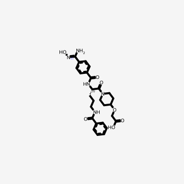 N/C(=N\O)c1ccc(C(=O)N[C@@H](CCCNC(=O)c2ccccc2)C(=O)N2CCC(OCC(=O)O)CC2)cc1